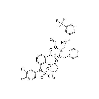 CS(=O)(=O)N(c1ccc(F)c(F)c1)c1cccc(C(=O)N[C@@H](Cc2ccccc2)[C@@H](CNCc2cccc(C(F)(F)F)c2)OC=O)c1N1CCCC1=O